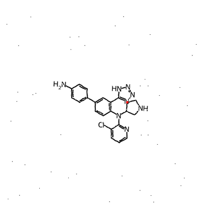 Nc1ccc(-c2ccc(N(c3ncccc3Cl)C3CCNC3)c(-c3nnn[nH]3)c2)cc1